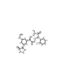 CC(C)Oc1cc(C(=O)N[C@@H](Cc2ccccc2)[C@@H]2C[C@@H](C)C(=O)O2)cc(N2CCCC2=O)c1